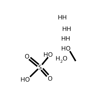 CO.O.O=S(=O)(O)O.[HH].[HH].[HH]